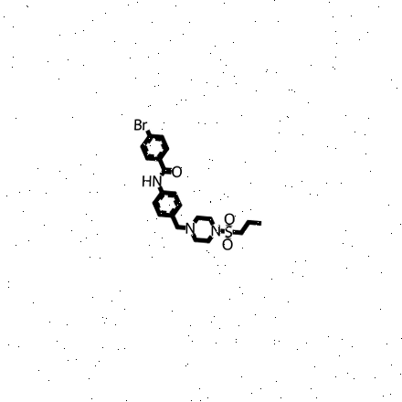 CCCS(=O)(=O)N1CCN(Cc2ccc(NC(=O)c3ccc(Br)cc3)cc2)CC1